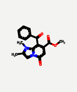 COC(=O)c1cc(=O)n2cc(C)n(C)c2c1C(=O)c1ccccc1